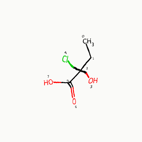 CCC(O)(Cl)C(=O)O